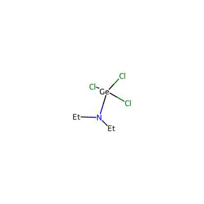 CC[N](CC)[Ge]([Cl])([Cl])[Cl]